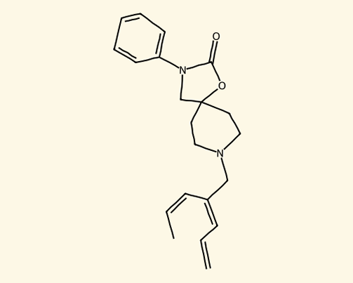 C=C/C=C(\C=C/C)CN1CCC2(CC1)CN(c1ccccc1)C(=O)O2